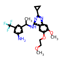 COCCOc1cc2c(NC(C)c3cc(N)cc(C(F)(F)F)c3)nc(C3CC3)nc2cc1OC